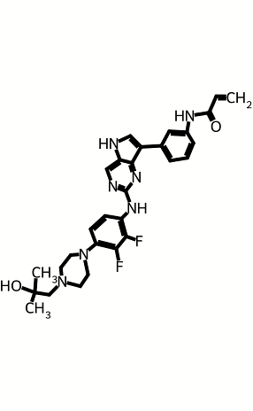 C=CC(=O)Nc1cccc(-c2c[nH]c3cnc(Nc4ccc(N5CCN(CC(C)(C)O)CC5)c(F)c4F)nc23)c1